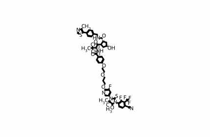 Cc1ncsc1-c1ccc(CNC(=O)[C@@H]2C[C@@H](O)CC2C(=O)[C@@H](NC(=O)c2ccc(OCCOCCCOc3ncc(N4C(=S)N(c5ccc(C#N)c(C(F)(F)F)c5F)C(=O)C4(C)C)cc3F)cc2)C(C)(C)C)cc1